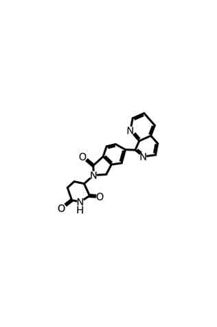 O=C1CCC(N2Cc3cc(-c4nccc5cccnc45)ccc3C2=O)C(=O)N1